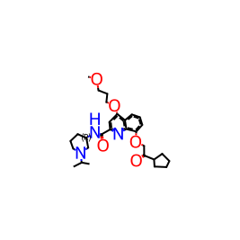 COCCCOc1cc(C(=O)N[C@@H]2CCCN(C(C)C)C2)nc2c(OCC(=O)C3CCCC3)cccc12